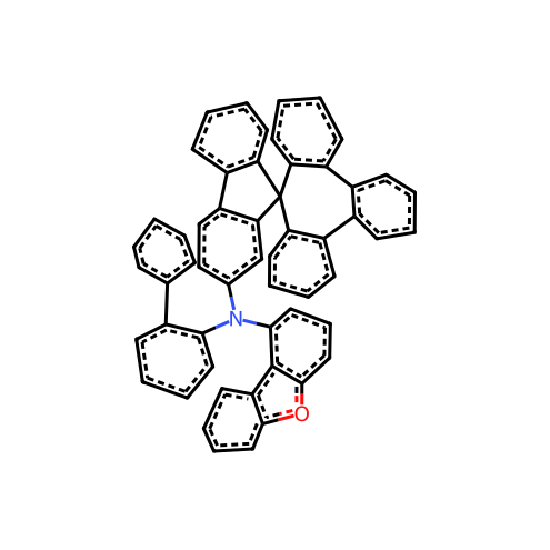 c1ccc(-c2ccccc2N(c2ccc3c(c2)C2(c4ccccc4-c4ccccc4-c4ccccc42)c2ccccc2-3)c2cccc3oc4ccccc4c23)cc1